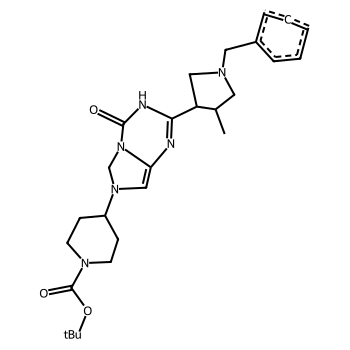 CC1CN(Cc2ccccc2)CC1C1=NC2=CN(C3CCN(C(=O)OC(C)(C)C)CC3)CN2C(=O)N1